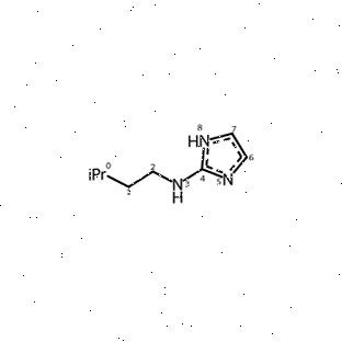 CC(C)CCNc1ncc[nH]1